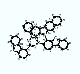 c1ccc(-c2nc(-c3ccc4c(oc5ccccc54)c3-n3c4ccccc4c4cc5ccccc5cc43)nc(-c3cccc4sc5ccccc5c34)n2)cc1